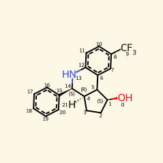 O[C@H]1CC[C@@H]2C1c1cc(C(F)(F)F)ccc1N[C@@H]2c1ccccc1